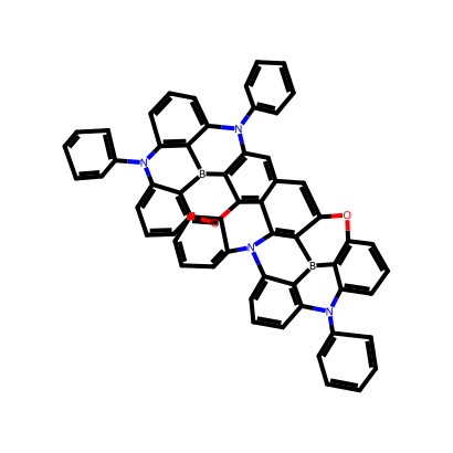 c1ccc(N2c3cccc4c3B3c5c2cccc5N(c2ccccc2)c2cc5cc6c7c(c5c(c23)O4)N(c2ccccc2)c2cccc3c2B7c2c(cccc2N3c2ccccc2)O6)cc1